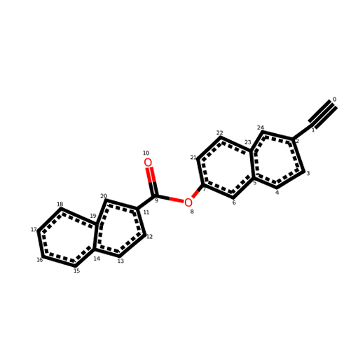 C#Cc1ccc2cc(OC(=O)c3ccc4ccccc4c3)ccc2c1